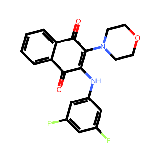 O=C1C(Nc2cc(F)cc(F)c2)=C(N2CCOCC2)C(=O)c2ccccc21